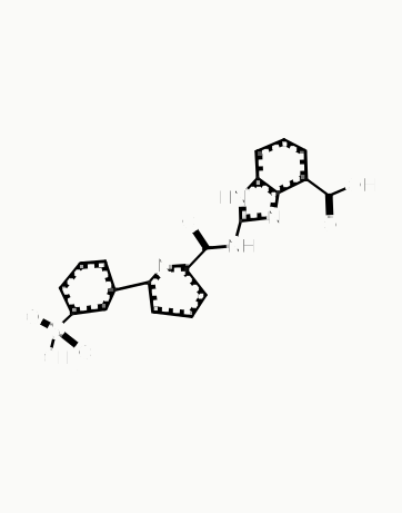 CS(=O)(=O)c1cccc(-c2cccc(C(=O)Nc3nc4c(C(=O)O)cccc4[nH]3)n2)c1